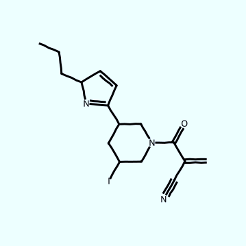 C=C(C#N)C(=O)N1CC(I)CC(C2=NC(CCC)C=C2)C1